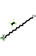 CCCCCCCCCCCCCCCCCC[Si](Cl)(Cl)Cl.FC(F)=C(F)F